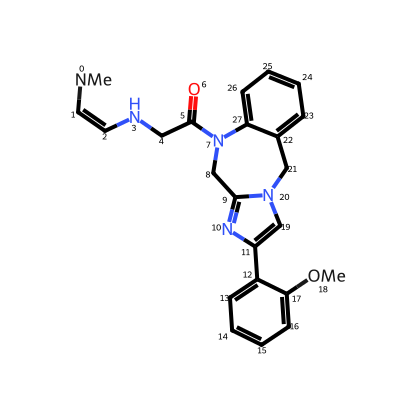 CN/C=C\NCC(=O)N1Cc2nc(-c3ccccc3OC)cn2Cc2ccccc21